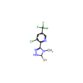 CN1C(c2ncc(C(F)(F)F)cc2Cl)=NNC1S